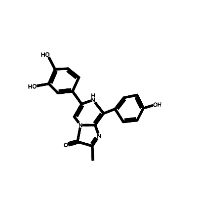 Cc1nc2c(-c3ccc(O)cc3)[nH]c(-c3ccc(O)c(O)c3)cn-2c1=O